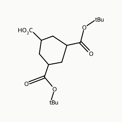 CC(C)(C)OC(=O)C1CC(C(=O)O)CC(C(=O)OC(C)(C)C)C1